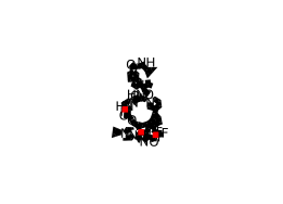 CO[C@@H](C)c1ncc(N2CCN(C3CC3)CC2)cc1-c1c2c3cc(ccc3n1CC(F)(F)F)C1=CCCN(C1)C[C@H](NC(=O)C(C(C)C)N1CC[C@]3(CCN(C(=O)[C@@H]4NC4C4CC4)C3)C1)C(=O)N1CCC[C@H](N1)C(=O)OCC(C)(C)C2